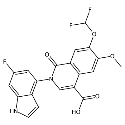 COc1cc2c(C(=O)O)cn(-c3cc(F)cc4[nH]ccc34)c(=O)c2cc1OC(F)F